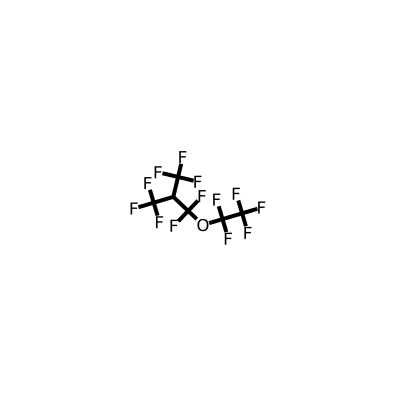 FC(F)(F)C(C(F)(F)F)C(F)(F)OC(F)(F)C(F)(F)F